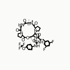 C[C@@H]1NC(=O)[C@H](C)N(C)C(=O)C2CCCN2C(=O)[C@@H](NC(=O)[C@H](Cc2cc(F)cc(F)c2)NC(=O)Nc2ccc(OC(F)(F)F)cc2)[C@H](C)OC(=O)C2CCCN2C1=O